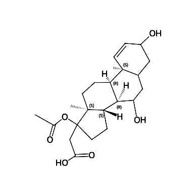 CC(=O)OC1(CC(=O)O)CC[C@H]2[C@@H]3C(O)CC4CC(O)C=C[C@]4(C)[C@@H]3CC[C@@]21C